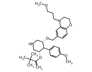 C=C(O[C@@H]1CNC[C@H](OCc2ccc3c(c2)N(CCCOC)CCO3)C1c1ccc(OC)cc1)C(C)(C)C